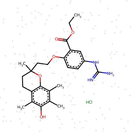 CCOC(=O)c1cc(NC(=N)N)ccc1OCCC1(C)CCc2c(C)c(O)c(C)c(C)c2O1.Cl